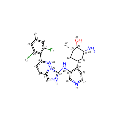 Cc1cc(F)c(-c2ccc3cnc(Nc4cnccc4[C@H]4C[C@@H](N)[C@@H](O)[C@@H](C)C4)n3n2)c(F)c1